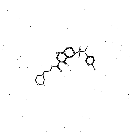 CN(c1ccc(Br)cc1)S(=O)(=O)c1ccc2[nH]cc(C(=O)NCCN3CCOCC3)c(=O)c2c1